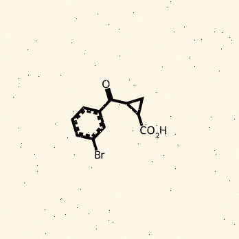 O=C(O)C1CC1C(=O)c1cccc(Br)c1